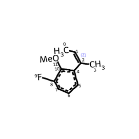 C/C=C(/C)c1cccc(F)c1OC